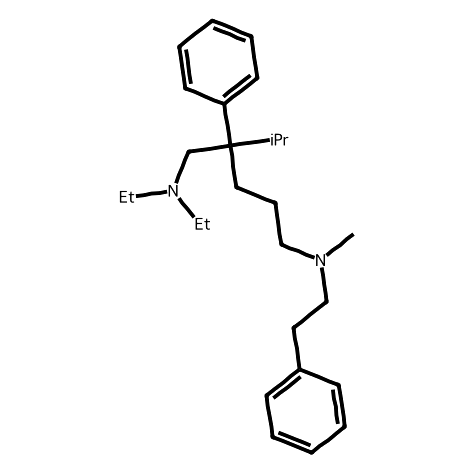 CCN(CC)CC(CCCN(C)CCc1ccccc1)(c1ccccc1)C(C)C